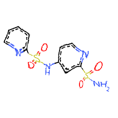 NS(=O)(=O)c1cc(NS(=O)(=O)c2ccccn2)ccn1